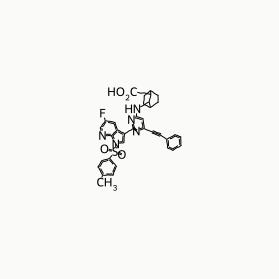 Cc1ccc(S(=O)(=O)n2cc(-c3nc(C#Cc4ccccc4)cc(NC4C5CCC(CC5)C4C(=O)O)n3)c3cc(F)cnc32)cc1